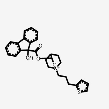 O=C(OC1C[N+]2(CCCc3cccs3)CCC1CC2)C1(O)c2ccccc2-c2ccccc21